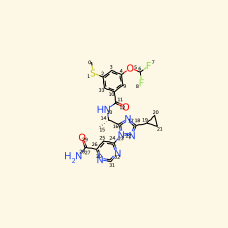 CSc1cc(OC(F)F)cc(C(=O)N[C@@H](C)c2nc(C3CC3)nn2-c2cc(C(N)=O)ncn2)c1